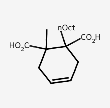 CCCCCCCCC1(C(=O)O)CC=CCC1(C)C(=O)O